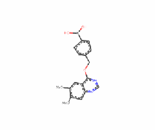 COc1cc2ncnc(OCc3ccc(B(O)O)cc3)c2cc1OC